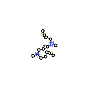 CC1(C)c2cc(-c3cccc(-c4nc(-c5ccccc5)nc(-c5cccc(-c6cccc(-c7cccc8cc9sc%10ccccc%10c9cc78)c6)c5)n4)c3)ccc2-c2ccc(-c3nc(-c4ccccc4)nc(-c4cccc(-c5ccc6cc7sc8ccccc8c7cc6c5)c4)n3)cc21